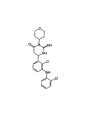 N=C1NC(c2cccc(Nc3ccccc3Cl)c2Cl)CC(=O)N1C1CCOCC1